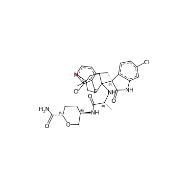 C[C@@H](NC1([C@]2(Cc3ccnc(Cl)c3F)C(=O)Nc3cc(Cl)ccc32)CCC(C)(C)CC1)C(=O)N[C@@H]1CC[C@@H](C(N)=O)OC1